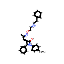 COc1ccc(N2C(=O)C(=CC(C)=NOCCNCCc3ccccc3)C2c2ccccc2)cc1